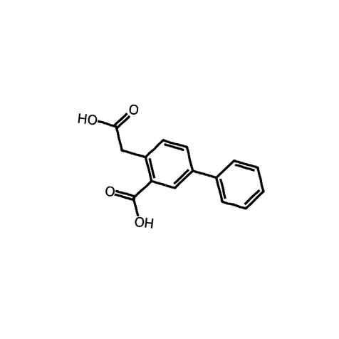 O=C(O)Cc1ccc(-c2ccccc2)cc1C(=O)O